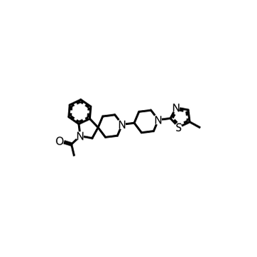 CC(=O)N1CC2(CCN(C3CCN(c4ncc(C)s4)CC3)CC2)c2ccccc21